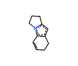 C1=Cc2c(cc3n2CCC3)CC1